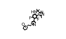 Cc1nnc2n1-c1c(cc(F)c(-c3cnn(CCN4CCCC4=O)c3)c1F)NC2(C)C